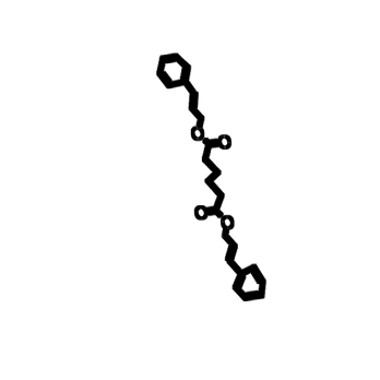 O=C(CCCCC(=O)OCC=Cc1ccccc1)OCC=Cc1ccccc1